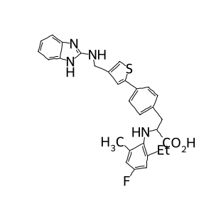 CCc1cc(F)cc(C)c1NC(Cc1ccc(-c2cc(CNc3nc4ccccc4[nH]3)cs2)cc1)C(=O)O